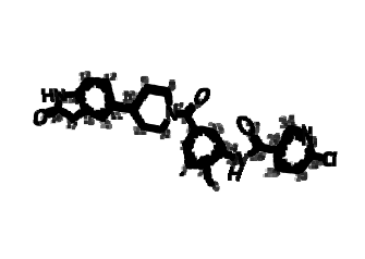 Cc1ccc(C(=O)N2CCC(c3ccc4c(c3)CC(=O)N4)CC2)cc1NC(=O)c1ccc(Cl)nc1